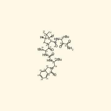 CCCCC(NC(=O)[C@@H]1[C@@H]2[C@H](CN1C(=O)[C@@H](NC(=O)N[C@H](CN1Cc3ccccc3C1=O)C(C)(C)C)C(C)(C)C)C2(C)C)C(=O)C(N)=O